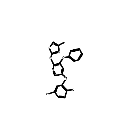 Cc1csc(Nc2ncc(Sc3cc(Cl)ccc3Cl)cc2Oc2ccccc2)n1